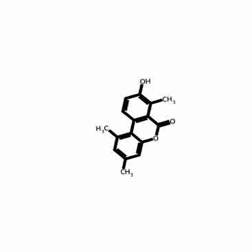 Cc1cc(C)c2c(c1)oc(=O)c1c(C)c(O)ccc12